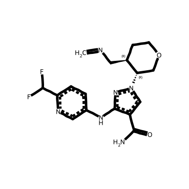 C=NC[C@H]1CCOC[C@@H]1n1cc(C(N)=O)c(Nc2ccc(C(F)F)nc2)n1